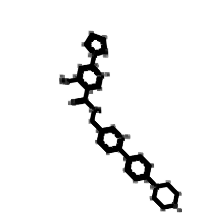 O=C(NCc1ccc(-c2ccc(N3CCOCC3)cc2)nc1)c1cnc(-n2cccn2)cc1O